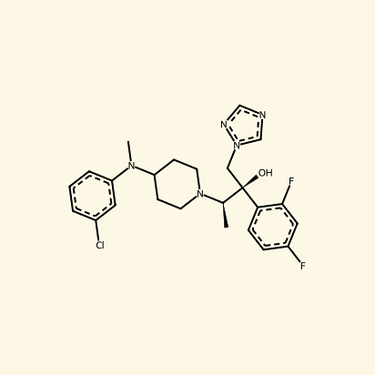 C[C@@H](N1CCC(N(C)c2cccc(Cl)c2)CC1)[C@](O)(Cn1cncn1)c1ccc(F)cc1F